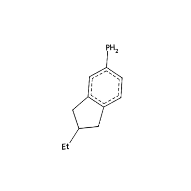 CCC1Cc2ccc(P)cc2C1